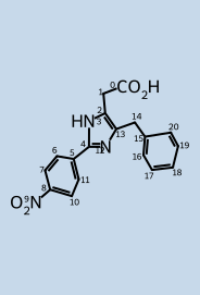 O=C(O)Cc1[nH]c(-c2ccc([N+](=O)[O-])cc2)nc1Cc1ccccc1